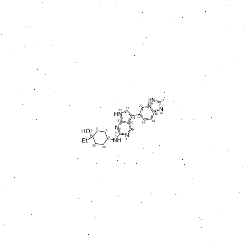 CCC1(O)CCC(Nc2ncc3c(-c4ccc5ncnn5c4)c[nH]c3n2)CC1